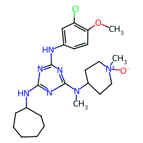 COc1ccc(Nc2nc(NC3CCCCCC3)nc(N(C)C3CC[N+](C)([O-])CC3)n2)cc1Cl